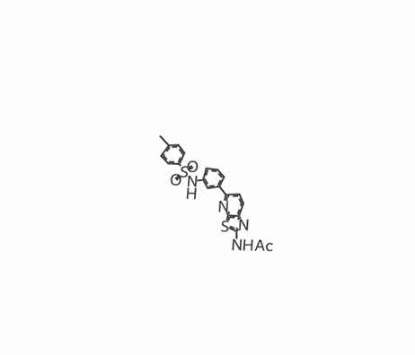 CC(=O)Nc1nc2ccc(-c3cccc(NS(=O)(=O)c4ccc(C)cc4)c3)nc2s1